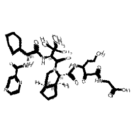 CCCC(NC(=O)[C@@H]1[C@H]2CCC[C@H]2CN1C(=O)[C@@H](NC(=O)[C@H](NC(=O)c1cnccn1)C1CCCCC1)C(C)(C)C)C(=O)C(=O)NCC(=O)O